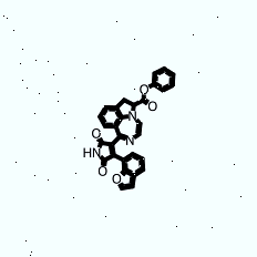 O=C1NC(=O)C(c2cccc3ccoc23)=C1C1=NC=CN2c3c(cccc31)CC2C(=O)Oc1ccccc1